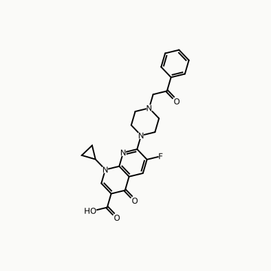 O=C(CN1CCN(c2nc3c(cc2F)c(=O)c(C(=O)O)cn3C2CC2)CC1)c1ccccc1